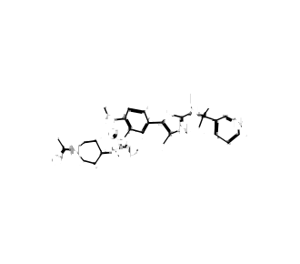 COc1ccc(-c2sc(NC(C)(C)c3cccnc3)nc2C)cc1S(=O)(=O)NC1CCN(C(C)=O)CC1